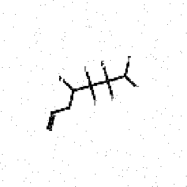 C=CCC(F)C(F)(F)C(F)(F)C(F)F